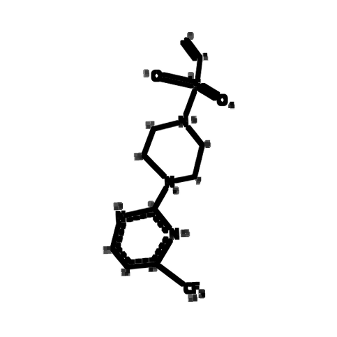 C=CS(=O)(=O)N1CCN(c2nccc(C(F)(F)F)n2)CC1